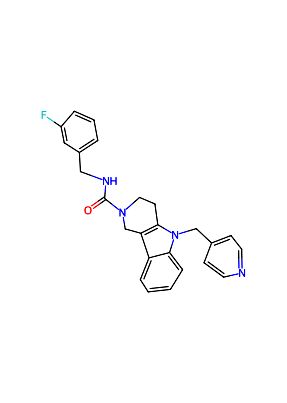 O=C(NCc1cccc(F)c1)N1CCc2c(c3ccccc3n2Cc2ccncc2)C1